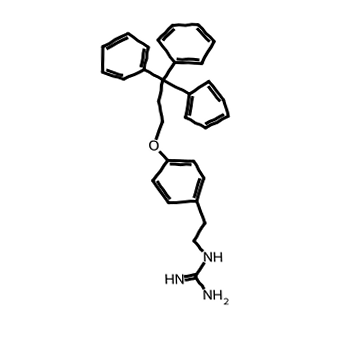 N=C(N)NCCc1ccc(OCCC(c2ccccc2)(c2ccccc2)c2ccccc2)cc1